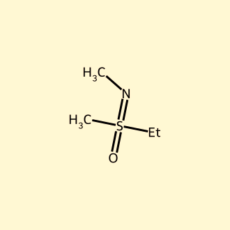 CCS(C)(=O)=NC